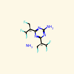 N.Nc1nc([C@H](CF)C(F)F)nc([C@H](CF)C(F)F)n1